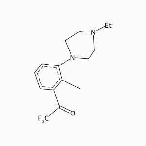 CCN1CCN(c2cccc(C(=O)C(F)(F)F)c2C)CC1